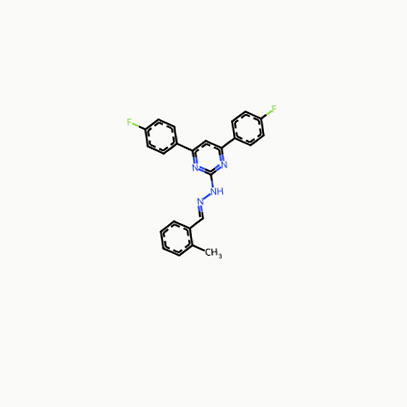 Cc1ccccc1/C=N/Nc1nc(-c2ccc(F)cc2)cc(-c2ccc(F)cc2)n1